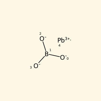 [O-]B([O-])[O-].[Pb+3]